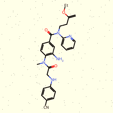 C=C(CCN(C(=O)c1ccc(N(C)C(=O)CNc2ccc(C#N)cc2)c(N)c1)c1ccccn1)OCC